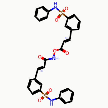 O=C(/C=C/c1cccc(S(=O)(=O)Nc2ccccc2)c1)NOC(=O)/C=C/c1cccc(S(=O)(=O)Nc2ccccc2)c1